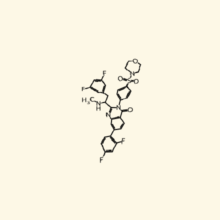 CNC(Cc1cc(F)cc(F)c1)c1nc2cc(-c3ccc(F)cc3F)ccc2c(=O)n1-c1ccc(S(=O)(=O)N2CCOCC2)cc1